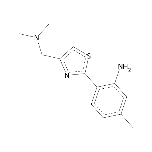 Cc1ccc(-c2nc(CN(C)C)cs2)c(N)c1